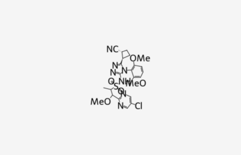 COc1cccc(OC)c1-n1c(NS(=O)(=O)C(C)C(OC)c2ncc(Cl)cn2)nnc1[C@@H]1CC[C@H]1C#N